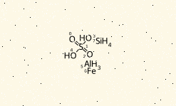 O=S(=O)(O)O.[AlH3].[Fe].[SiH4]